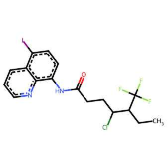 CCC(C(Cl)CCC(=O)Nc1ccc(I)c2cccnc12)C(F)(F)F